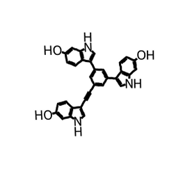 Oc1ccc2c(C#Cc3cc(-c4c[nH]c5cc(O)ccc45)cc(-c4c[nH]c5cc(O)ccc45)c3)c[nH]c2c1